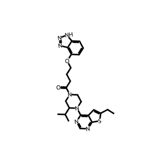 CCc1cc2c(N3CCN(C(=O)CCCOc4cccc5[nH]nnc45)CC3C(C)C)ncnc2s1